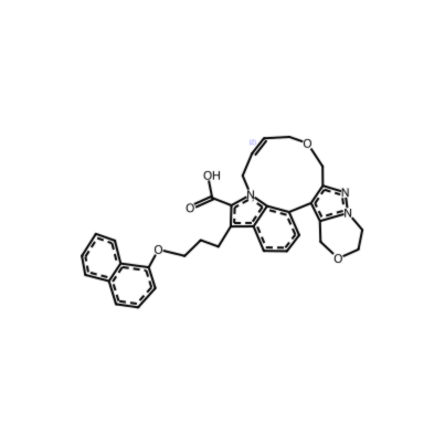 O=C(O)c1c(CCCOc2cccc3ccccc23)c2cccc3c2n1C/C=C\COCc1nn2c(c1-3)COCC2